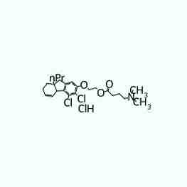 CCC[C@]12CCC=CC1c1c(cc(OCCOC(=O)CCCN(C)C)c(Cl)c1Cl)C2.Cl